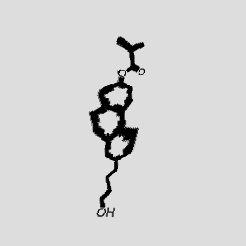 C=C(C)C(=O)Oc1ccc2c(ccc3cc(CCCCO)ccc32)c1